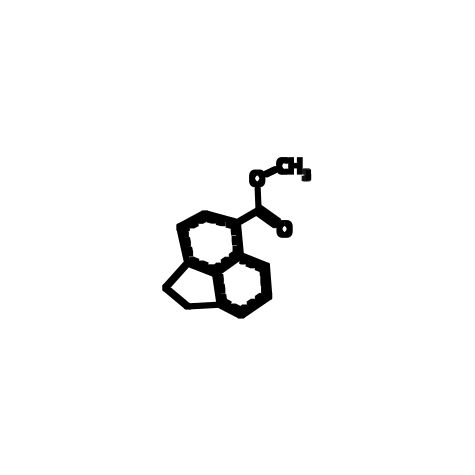 COC(=O)c1ccc2c3c(cccc13)CC2